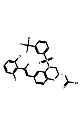 CC(=Cc1ccc2c(c1)N(S(=O)(=O)c1cccc(C(F)(F)F)c1)C[C@H](CC(=O)O)O2)c1c(F)cccc1Cl